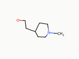 CN1CCC(CC[O])CC1